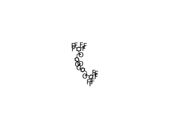 O=C(Oc1ccc(CC(=O)c2cc(C(F)(F)F)cc(C(F)(F)F)c2)cc1)Oc1ccc(CC(=O)c2cc(C(F)(F)F)cc(C(F)(F)F)c2)cc1